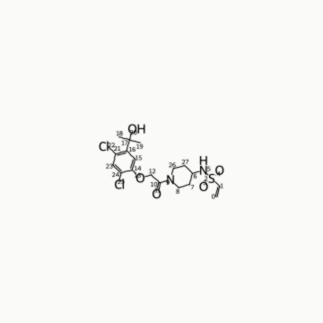 C=CS(=O)(=O)NC1CCN(C(=O)COc2cc(C(C)(C)O)c(Cl)cc2Cl)CC1